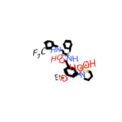 CCOc1cc(C(=O)N[C@@H](Cc2ccccc2)[C@@H](O)CNCc2cccc(C(F)(F)F)c2)cc(N2CCCCS2(O)O)c1